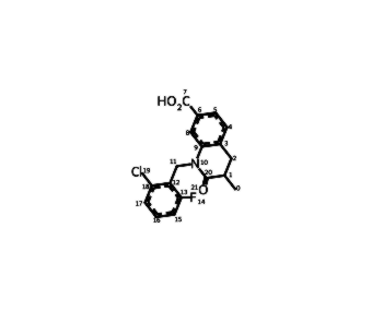 CC1Cc2ccc(C(=O)O)cc2N(Cc2c(F)cccc2Cl)C1=O